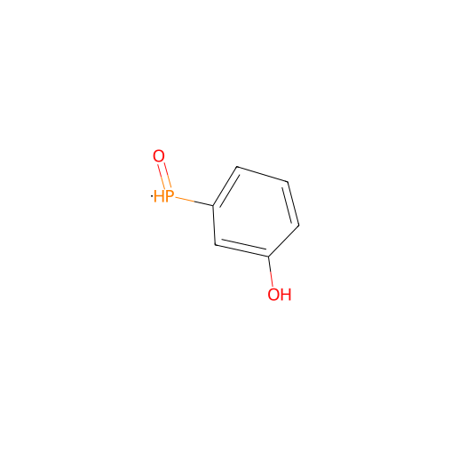 O=[PH]c1cccc(O)c1